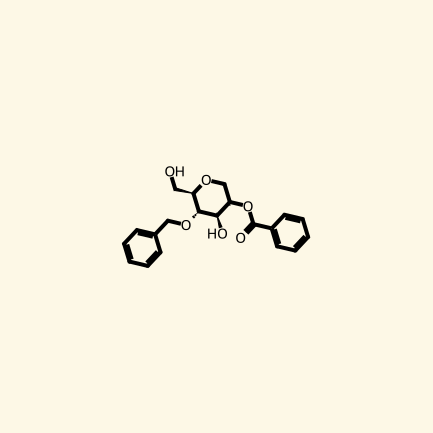 O=C(O[C]1CO[C@H](CO)[C@@H](OCc2ccccc2)[C@@H]1O)c1ccccc1